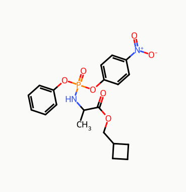 CC(NP(=O)(Oc1ccccc1)Oc1ccc([N+](=O)[O-])cc1)C(=O)OCC1CCC1